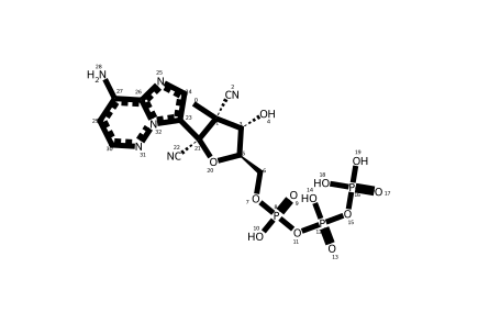 C[C@@]1(C#N)[C@H](O)[C@@H](COP(=O)(O)OP(=O)(O)OP(=O)(O)O)O[C@@]1(C#N)c1cnc2c(N)ccnn12